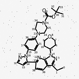 CCc1nn(C2CCOCC2)c2nc(-c3ccnn3-c3ccc(N4CCN(C(=O)OC(C)(C)C)CC4)cc3)ccc12